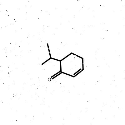 CC(C)C1CCC=CC1=O